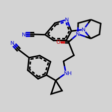 N#Cc1ccc(C2(NCCC(=O)N3CC4CCC3N4c3ccc(C#N)cn3)CC2)cc1